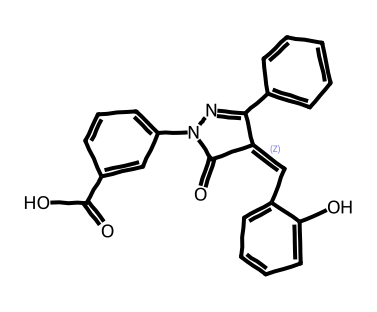 O=C(O)c1cccc(N2N=C(c3ccccc3)/C(=C/c3ccccc3O)C2=O)c1